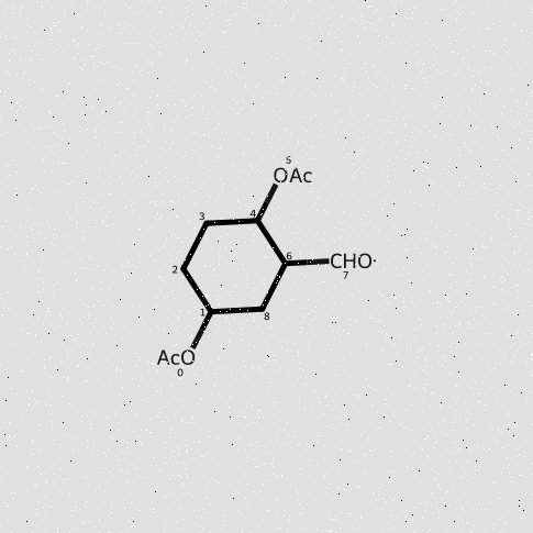 CC(=O)OC1CCC(OC(C)=O)C([C]=O)C1